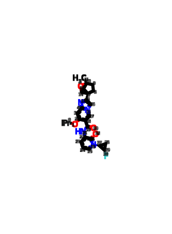 CC(C)Oc1cc2nc([C@]34CC[C@](C)(C3)OC4)cn2cc1C(=O)Nc1cccn([C@@H]2C[C@@H]2F)c1=O